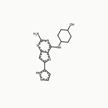 Nc1nc(NC2CCC(O)CC2)c2sc(-c3ccn[nH]3)cc2n1